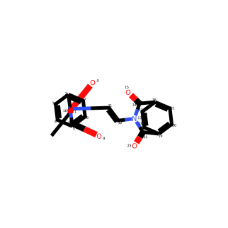 O=c1c2ccc(cc2)c(=O)n1C=Cn1c(=O)c2ccc(cc2)c1=O